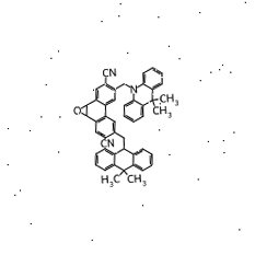 CC1(C)c2ccccc2C(Cc2cc3c(cc2C#N)C2OC2c2cc(C#N)c(CN4c5ccccc5C(C)(C)c5ccccc54)cc2-3)c2ccccc21